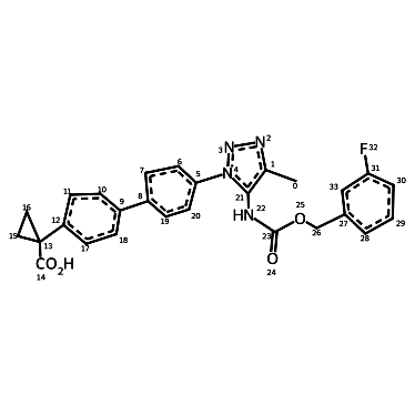 Cc1nnn(-c2ccc(-c3ccc(C4(C(=O)O)CC4)cc3)cc2)c1NC(=O)OCc1cccc(F)c1